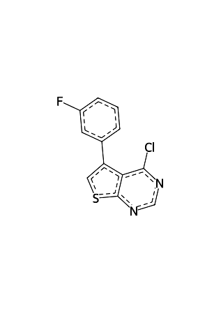 Fc1cccc(-c2csc3ncnc(Cl)c23)c1